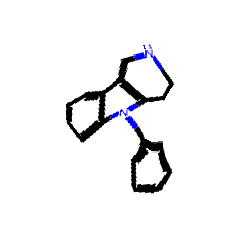 c1ccc(-n2c3c(c4ccccc42)CNCC3)cc1